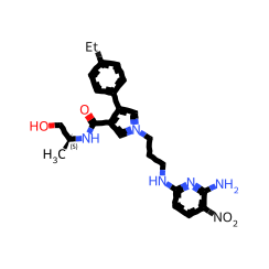 CCc1ccc(-c2cn(CCCNc3ccc([N+](=O)[O-])c(N)n3)cc2C(=O)N[C@@H](C)CO)cc1